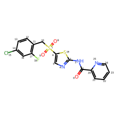 O=C(Nc1ncc(S(=O)(=O)Cc2ccc(Cl)cc2F)s1)c1ccccn1